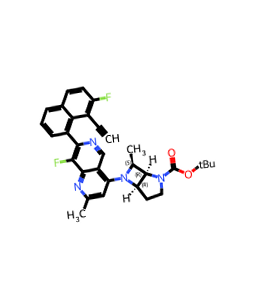 C#Cc1c(F)ccc2cccc(-c3ncc4c(N5[C@@H]6CCN(C(=O)OC(C)(C)C)[C@@H]6[C@@H]5C)cc(C)nc4c3F)c12